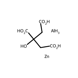 O=C(O)CC(O)(CC(=O)O)C(=O)O.[AlH3].[Zn]